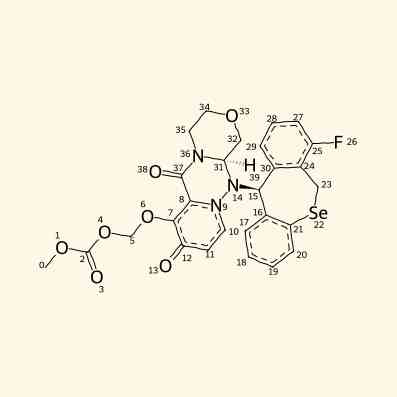 COC(=O)OCOc1c2n(ccc1=O)N([C@@H]1c3ccccc3[Se]Cc3c(F)cccc31)[C@@H]1COCCN1C2=O